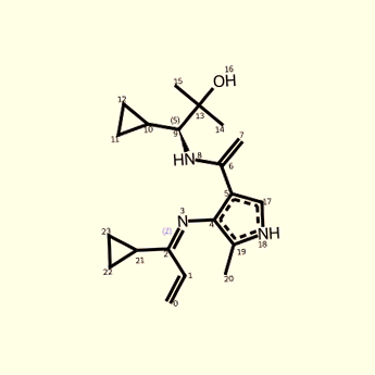 C=C/C(=N\c1c(C(=C)N[C@@H](C2CC2)C(C)(C)O)c[nH]c1C)C1CC1